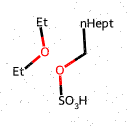 CCCCCCCCOS(=O)(=O)O.CCOCC